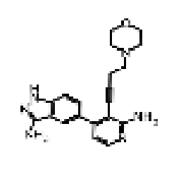 Nc1nccc(-c2ccc3[nH]nc(N)c3c2)c1C#CCCN1CCOCC1